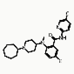 CN(c1ccc(Cl)cc1C(=O)Nc1ccc(Cl)cn1)C1CCN(C2CCCCCC2)CC1